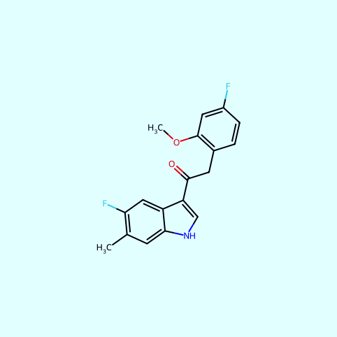 COc1cc(F)ccc1CC(=O)c1c[nH]c2cc(C)c(F)cc12